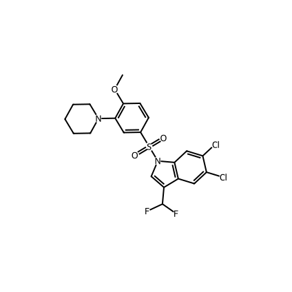 COc1ccc(S(=O)(=O)n2cc(C(F)F)c3cc(Cl)c(Cl)cc32)cc1N1CCCCC1